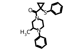 CC1CN(C(=O)C2(Sc3ccccc3)CC2)CCN1c1ccccc1